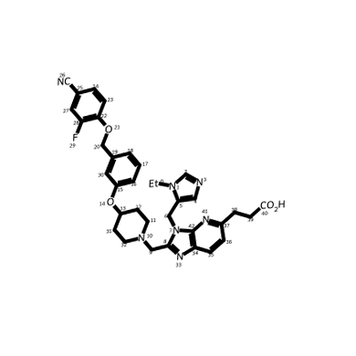 CCn1cncc1Cn1c(CN2CCC(Oc3cccc(COc4ccc(C#N)cc4F)c3)CC2)nc2ccc(CCC(=O)O)nc21